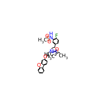 CC[Si](CC)(CC)OC(CNCCOc1ccc2c(c1)oc1ccccc12)c1ccc(F)c(NS(C)(=O)=O)c1